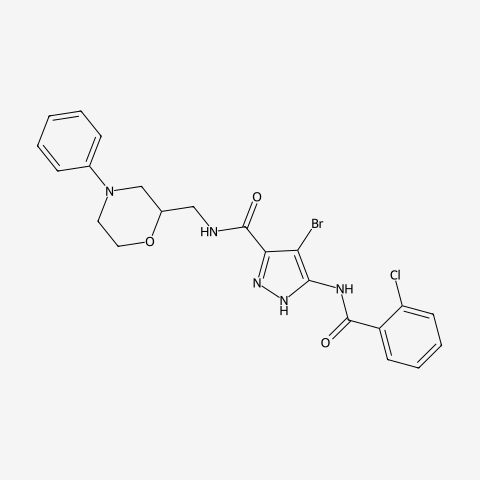 O=C(Nc1[nH]nc(C(=O)NCC2CN(c3ccccc3)CCO2)c1Br)c1ccccc1Cl